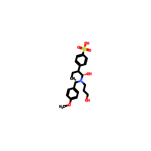 CCC(c1ccc(S(=O)(=O)O)cc1)[C@H](O)N(CCCO)Cc1ccc(OC)cc1